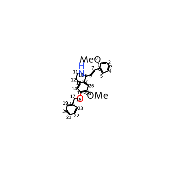 COc1ccccc1C=CC1NCCc2cc(OCc3ccccc3)c(OC)cc21